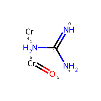 N=C(N)N.[Cr].[O]=[Cr]